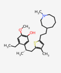 CCc1cc(OC)c(O)cc1[C@@H](C)Cc1sc(CCC2CCCCN(C)CC2)cc1C